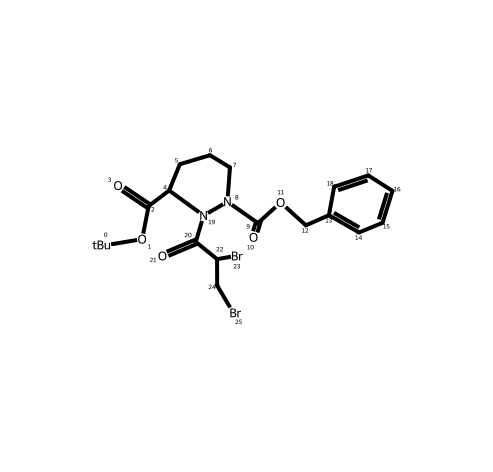 CC(C)(C)OC(=O)C1CCCN(C(=O)OCc2ccccc2)N1C(=O)C(Br)CBr